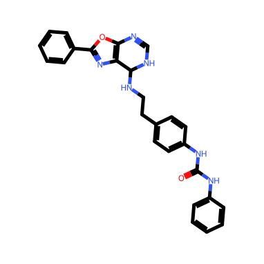 O=C(Nc1ccccc1)Nc1ccc(CCNC2NC=Nc3oc(-c4ccccc4)nc32)cc1